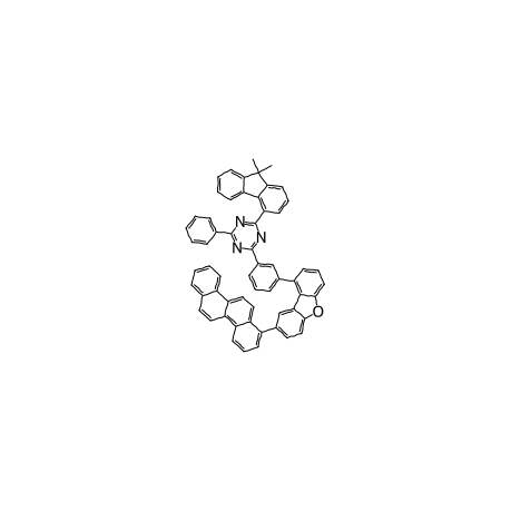 CC1(C)c2ccccc2-c2c(-c3nc(-c4ccccc4)nc(-c4cccc(-c5cccc6oc7ccc(-c8cccc9c8ccc8c%10ccccc%10ccc98)cc7c56)c4)n3)cccc21